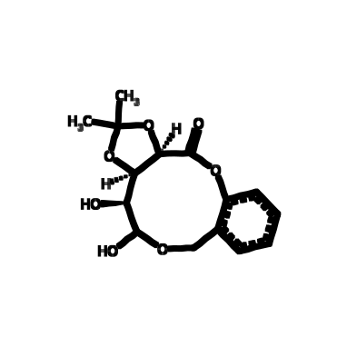 CC1(C)O[C@@H]2[C@H](O)C(O)OCc3ccccc3OC(=O)[C@@H]2O1